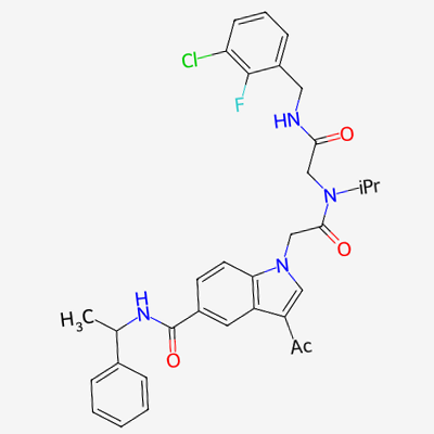 CC(=O)c1cn(CC(=O)N(CC(=O)NCc2cccc(Cl)c2F)C(C)C)c2ccc(C(=O)NC(C)c3ccccc3)cc12